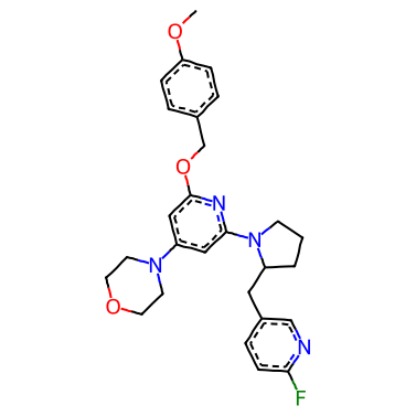 COc1ccc(COc2cc(N3CCOCC3)cc(N3CCCC3Cc3ccc(F)nc3)n2)cc1